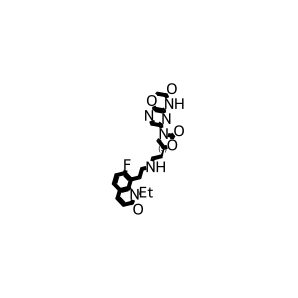 CCn1c(=O)ccc2ccc(F)c(CCNCC[C@H]3CN(c4cnc5c(n4)NC(=O)CO5)C(=O)O3)c21